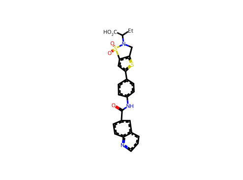 CCC(C(=O)O)N1Cc2sc(-c3ccc(NC(=O)c4ccc5ncccc5c4)cc3)cc2S1(=O)=O